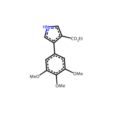 CCOC(=O)c1c[nH]cc1-c1cc(OC)c(OC)c(OC)c1